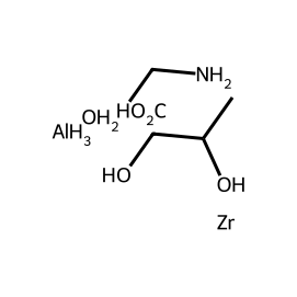 CC(O)CO.NCC(=O)O.O.[AlH3].[Zr]